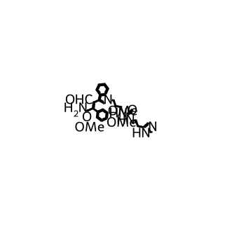 COc1cc(/C(C(N)=O)=C(/C=O)c2cn(CCCNC(=O)NCCc3cnc[nH]3)c3ccccc23)cc(OC)c1OC